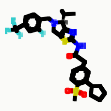 CC(C)[C@@H]1c2nc(NC(=O)Cc3ccc(S(C)(=O)=O)c(C4CCCC4)c3)sc2CN1Cc1ccc(C(F)(F)F)cc1F